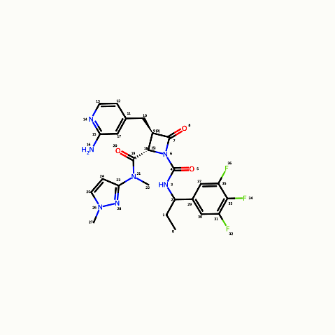 CCC(NC(=O)N1C(=O)[C@H](Cc2ccnc(N)c2)[C@H]1C(=O)N(C)c1ccn(C)n1)c1cc(F)c(F)c(F)c1